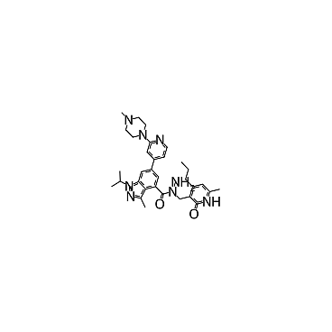 CCCc1cc(C)[nH]c(=O)c1CN(N)C(=O)c1cc(-c2ccnc(N3CCN(C)CC3)c2)cc2c1c(C)nn2C(C)C